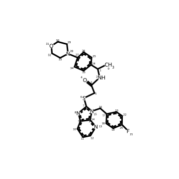 CC(NC(=O)CSc1nc2cccnc2n1Cc1ccc(F)cc1)c1ccc(N2CCOCC2)cc1